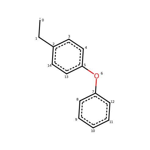 [CH2]Cc1ccc(Oc2ccccc2)cc1